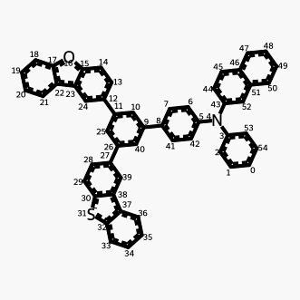 c1ccc(N(c2ccc(-c3cc(-c4ccc5oc6ccccc6c5c4)cc(-c4ccc5sc6ccccc6c5c4)c3)cc2)c2ccc3ccccc3c2)cc1